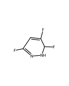 F[C]1NN=C(F)C=C1F